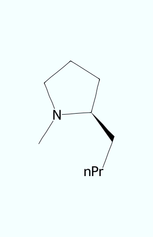 CCCC[C@@H]1CCCN1C